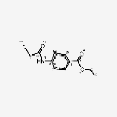 CCOC(=O)c1ccc(NC(=O)CF)cc1